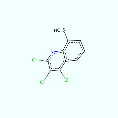 O=S(=O)(O)c1cccc2c(Cl)c(Cl)c(Cl)nc12